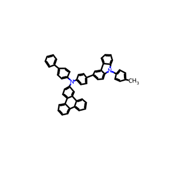 Cc1ccc(-n2c3ccccc3c3cc(-c4ccc(N(c5ccc(-c6ccccc6)cc5)c5ccc6c7ccccc7c7ccccc7c6c5)cc4)ccc32)cc1